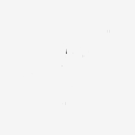 CC#C[C@]1(O)CC[C@H]2[C@@H]3CCC4=CC(=O)CCC4=C3[C@@H](c3ccc(Cl)c(C4CC4)c3)C[C@@]21C